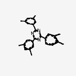 Cc1cc(C)cc(-c2nc(-c3cc(C)cc(C)c3)nc(-c3ccc(C)c(C)c3)n2)c1